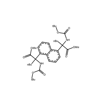 CCCCC(NC(=O)OC(C)(C)C)(C(=O)OC)c1cccc2c(C(CCCC)(NC(=O)OC(C)(C)C)C(=O)OC)cccc12